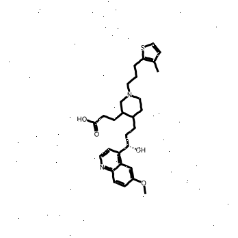 COc1ccc2nccc([C@@H](O)CCC3CCN(CCCc4sccc4C)CC3CCC(=O)O)c2c1